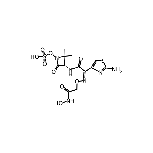 CC1(C)[C@H](NC(=O)C(=NOCC(=O)NO)c2csc(N)n2)C(=O)N1OS(=O)(=O)O